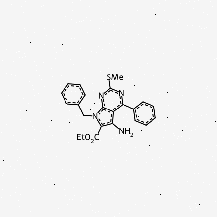 CCOC(=O)c1c(N)c2c(-c3ccccc3)nc(SC)nc2n1Cc1ccccc1